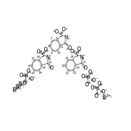 O=C1[N-]S(=O)(=O)c2ccccc21.O=C1[N-]S(=O)(=O)c2ccccc21.O=C1[N-]S(=O)(=O)c2ccccc21.O=P([O-])([O-])[O-].O=P([O-])([O-])[O-].O=P([O-])([O-])[O-].[Bi+3].[Bi+3].[Bi+3].[Bi+3]